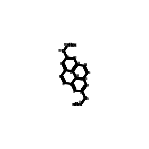 CCCCCCOc1cc2ccc3cc(OCCCCCC)cc4ccc(c1)c2c34